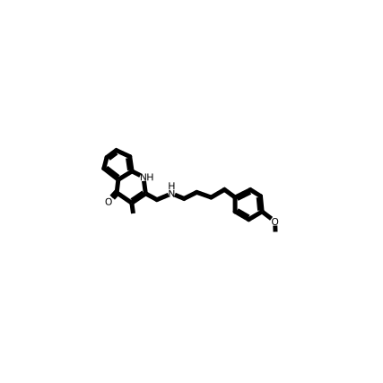 COc1ccc(CCCCNCc2[nH]c3ccccc3c(=O)c2C)cc1